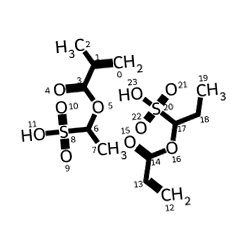 C=C(C)C(=O)OC(C)S(=O)(=O)O.C=CC(=O)OC(CC)S(=O)(=O)O